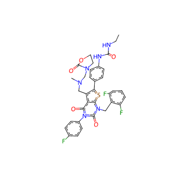 CCNC(=O)Nc1ccc(-c2sc3c(c2CN(C)CN2CCOC2=O)c(=O)n(-c2ccc(F)cc2)c(=O)n3Cc2c(F)cccc2F)cc1